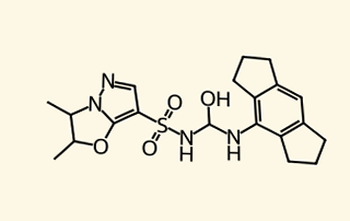 CC1Oc2c(S(=O)(=O)NC(O)Nc3c4c(cc5c3CCC5)CCC4)cnn2C1C